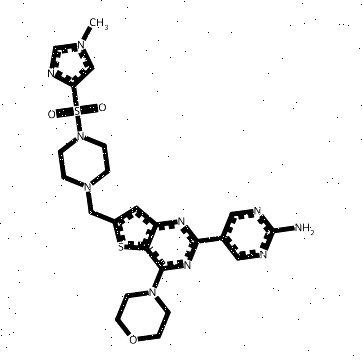 Cn1cnc(S(=O)(=O)N2CCN(Cc3cc4nc(-c5cnc(N)nc5)nc(N5CCOCC5)c4s3)CC2)c1